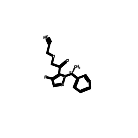 C#CCOCC(=O)c1c(F)cnn1[C@H](C)c1ccccc1